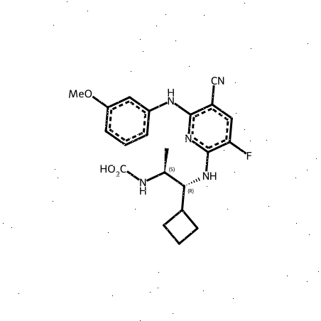 COc1cccc(Nc2nc(N[C@H](C3CCC3)[C@H](C)NC(=O)O)c(F)cc2C#N)c1